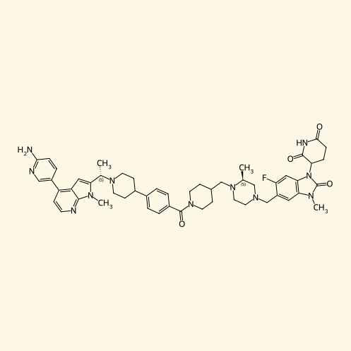 C[C@H]1CN(Cc2cc3c(cc2F)n(C2CCC(=O)NC2=O)c(=O)n3C)CCN1CC1CCN(C(=O)c2ccc(C3CCN([C@@H](C)c4cc5c(-c6ccc(N)nc6)ccnc5n4C)CC3)cc2)CC1